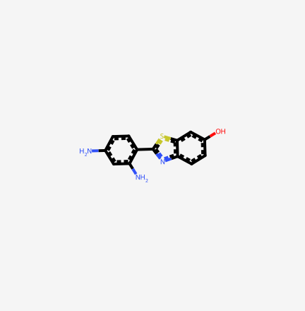 Nc1ccc(-c2nc3ccc(O)cc3s2)c(N)c1